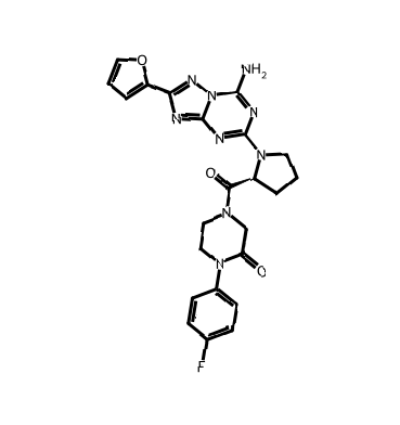 Nc1nc(N2CCC[C@H]2C(=O)N2CCN(c3ccc(F)cc3)C(=O)C2)nc2nc(-c3ccco3)nn12